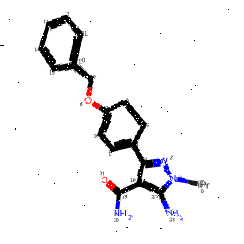 CC(C)n1nc(-c2ccc(OCc3ccccc3)cc2)c(C(N)=O)c1N